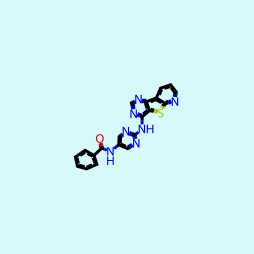 O=C(Nc1cnc(Nc2ncnc3c2sc2ncccc23)nc1)c1ccccc1